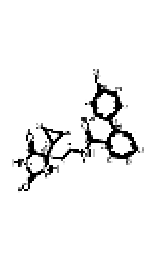 O=C1NC(=O)[C@](CCNC(=O)c2ccccc2-c2ccc(F)cc2)(C2CC2)N1